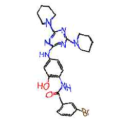 O=C(Nc1ccc(Nc2nc(N3CCCCC3)nc(N3CCCCC3)n2)cc1O)c1cccc(Br)c1